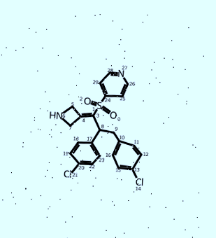 O=S(=O)(C(=C1CNC1)C(Cc1ccc(Cl)cc1)c1ccc(Cl)cc1)c1ccncc1